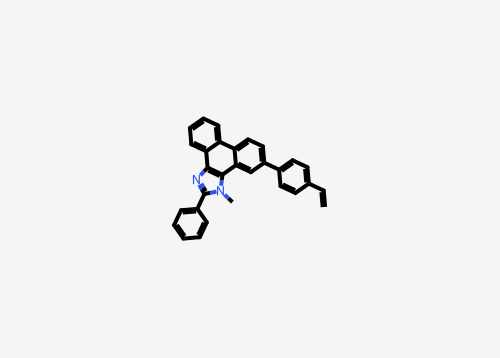 C=Cc1ccc(-c2ccc3c4ccccc4c4nc(-c5ccccc5)n(C)c4c3c2)cc1